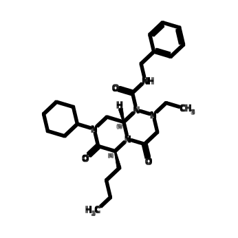 CCCC[C@H]1C(=O)N(C2CCCCC2)C[C@H]2N1C(=O)CN(CC)N2C(=O)NCc1ccccc1